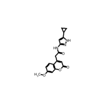 COc1ccc2c(CC(=O)Nc3cc(C4CC4)[nH]n3)cc(=O)oc2c1